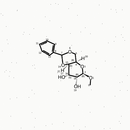 CO[C@@H]1O[C@@H]2COC(c3ccccc3)O[C@@H]2[C@@H](O)[C@H]1O